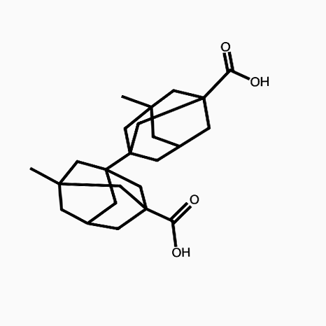 CC12CC3CC(C(=O)O)(C1)CC(C14CC5CC(C)(CC(C(=O)O)(C5)C1)C4)(C3)C2